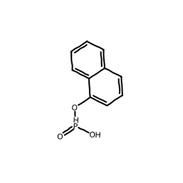 O=[PH](O)Oc1cccc2ccccc12